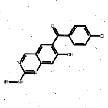 CC(C)Nc1ncc2cc(C(=O)c3ccc(Cl)cc3)c(O)cc2n1